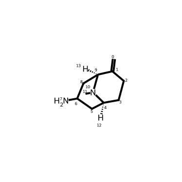 C=C1CC[C@H]2CC(N)C[C@@H]1N2C